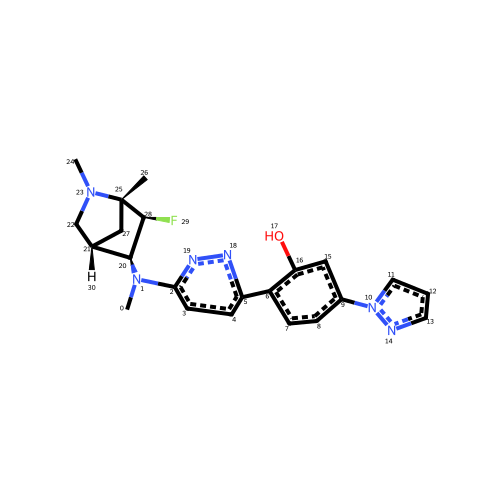 CN(c1ccc(-c2ccc(-n3cccn3)cc2O)nn1)[C@H]1[C@@H]2CN(C)[C@@](C)(C2)[C@H]1F